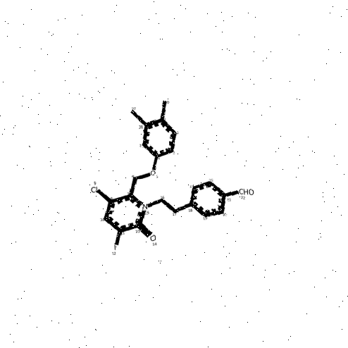 Cc1ccc(OCc2c(Cl)cc(I)c(=O)n2CCc2ccc(C=O)cc2)cc1C